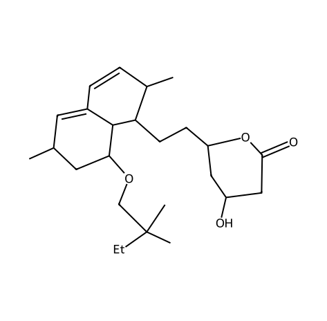 CCC(C)(C)COC1CC(C)C=C2C=CC(C)C(CCC3CC(O)CC(=O)O3)C21